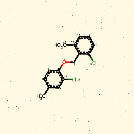 Cc1ccc(OCc2c(Cl)cccc2C(=O)O)c(Cl)c1